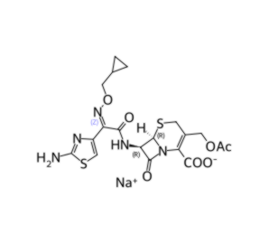 CC(=O)OCC1=C(C(=O)[O-])N2C(=O)[C@@H](NC(=O)/C(=N\OCC3CC3)c3csc(N)n3)[C@H]2SC1.[Na+]